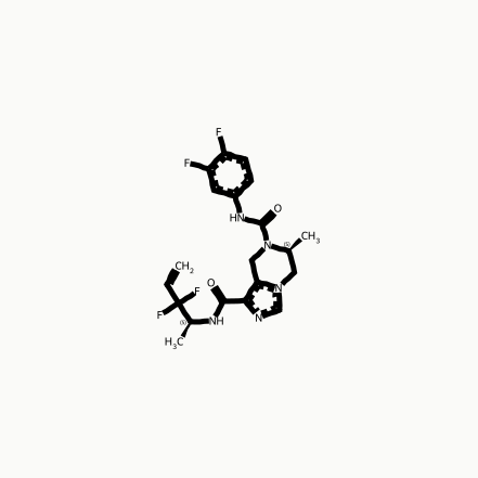 C=CC(F)(F)[C@H](C)NC(=O)c1ncn2c1CN(C(=O)Nc1ccc(F)c(F)c1)[C@@H](C)C2